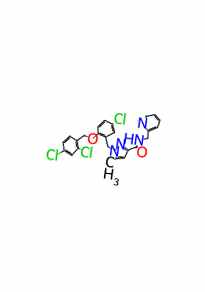 Cc1cc(C(=O)NCc2ccccn2)nn1Cc1cc(Cl)ccc1OCc1ccc(Cl)cc1Cl